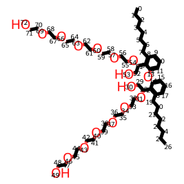 CCCCCCCCc1cccc(Oc2cccc(CCCCCCCC)c2C(CO)OCCOCCOCCOCCOCCOCCO)c1C(CO)OCCOCCOCCOCCOCCOCCO